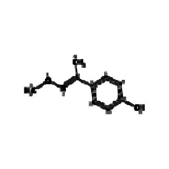 CON=C(C)c1ccc(O)cc1